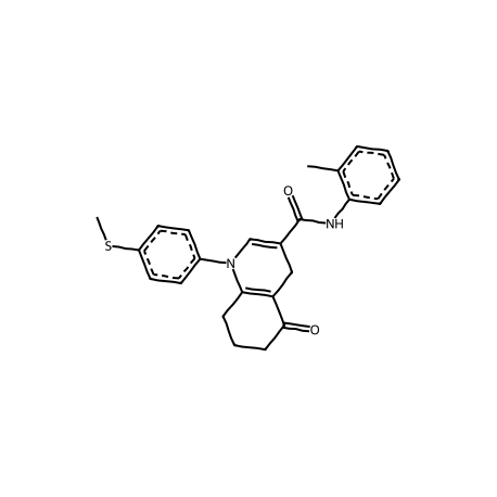 CSc1ccc(N2C=C(C(=O)Nc3ccccc3C)CC3=C2CCCC3=O)cc1